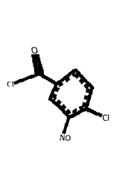 O=Nc1cc(C(=O)Cl)ccc1Cl